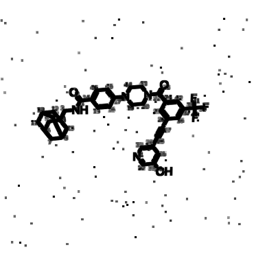 O=C(NCC12CC3CC(CC(C3)C1)C2)c1ccc(N2CCN(C(=O)c3cc(C#Cc4cncc(O)c4)cc(C(F)(F)F)c3)CC2)cc1